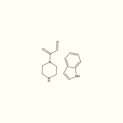 O=CC(=O)N1CCNCC1.c1ccc2[nH]ccc2c1